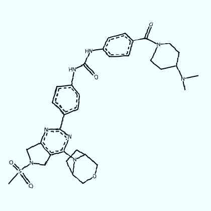 CN(C)C1CCN(C(=O)c2ccc(NC(=O)Nc3ccc(-c4nc5c(c(N6C7CCC6COC7)n4)CN(S(C)(=O)=O)C5)cc3)cc2)CC1